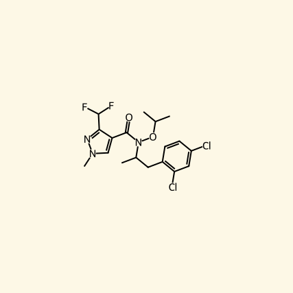 CC(C)ON(C(=O)c1cn(C)nc1C(F)F)C(C)Cc1ccc(Cl)cc1Cl